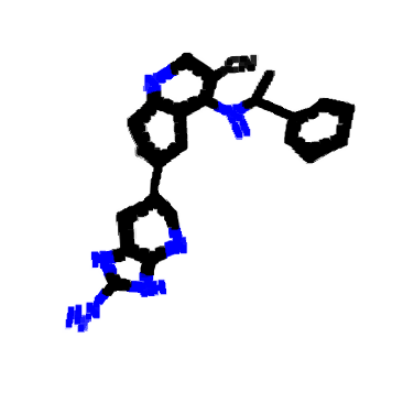 CC(Nc1c(C#N)cnc2ccc(-c3cnc4[nH]c(N)nc4c3)cc12)c1ccccc1